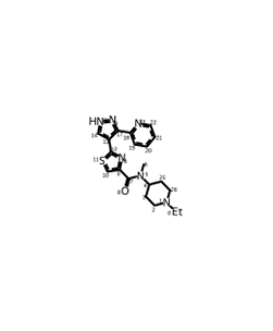 CCN1CCC(N(C)C(=O)c2csc(-c3c[nH]nc3-c3ccccn3)n2)CC1